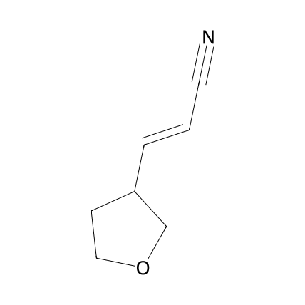 N#CC=CC1CCOC1